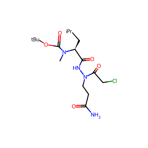 CC(C)C[C@@H](C(=O)NN(CCC(N)=O)C(=O)CCl)N(C)C(=O)OC(C)(C)C